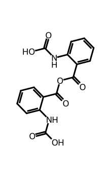 O=C(O)Nc1ccccc1C(=O)OC(=O)c1ccccc1NC(=O)O